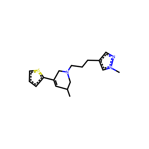 CC1C=C(c2cccs2)CN(CCCc2cnn(C)c2)C1